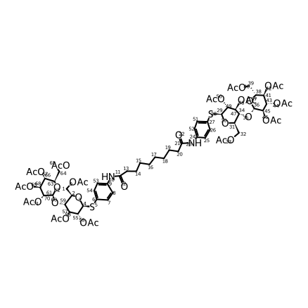 CC(=O)OC[C@H]1O[C@@H](Sc2ccc(NC(=O)CCCCCCCCC(=O)Nc3ccc(S[C@@H]4O[C@H](COC(C)=O)[C@@H](O[C@@H]5O[C@H](COC(C)=O)[C@@H](OC(C)=O)[C@H](OC(C)=O)[C@H]5OC(C)=O)[C@H](OC(C)=O)[C@H]4OC(C)=O)cc3)cc2)[C@H](OC(C)=O)[C@@H](OC(C)=O)[C@@H]1O[C@@H]1O[C@H](COC(C)=O)[C@@H](OC(C)=O)[C@H](OC(C)=O)[C@H]1OC(C)=O